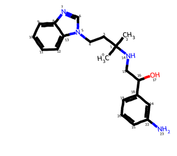 CC(C)(CCn1cnc2ccccc21)NCC(O)c1cccc(N)c1